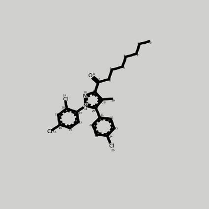 CCCCCCCC(=O)c1nn(-c2ccc(Cl)cc2Cl)c(-c2ccc(Cl)cc2)c1C